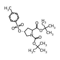 Cc1ccc(S(=O)(=O)O[C@@H]2CC(C(=O)OC(C)(C)C)N(C(=O)OC(C)(C)C)C2)cc1